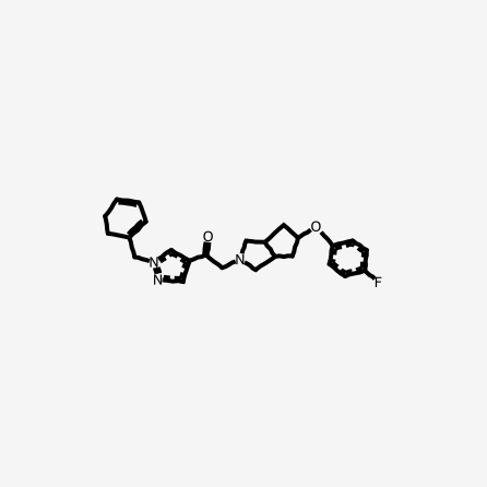 O=C(CN1CC2CC(Oc3ccc(F)cc3)CC2C1)c1cnn(CC2=CC=CCC2)c1